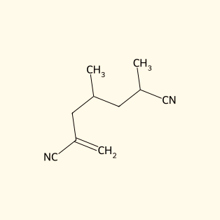 C=C(C#N)CC(C)CC(C)C#N